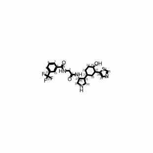 O=C(CNC(=O)c1cccc(C(F)(F)F)c1)N[C@H]1CNCC1C1CCC(O)C(c2cncs2)C1